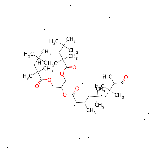 CC(CC(=O)OC(COC(=O)C(C)(C)CC(C)(C)C)COC(=O)C(C)(C)CC(C)(C)C)CC(C)(C)CC(C)(C)C(C)C=O